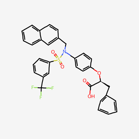 O=C(O)[C@H](Cc1ccccc1)Oc1ccc(N(Cc2ccc3ccccc3c2)S(=O)(=O)c2cccc(C(F)(F)F)c2)cc1